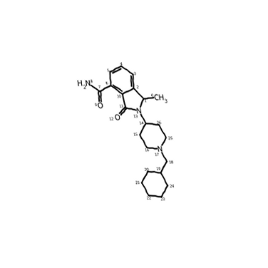 CC1c2cccc(C(N)=O)c2C(=O)N1C1CCN(CC2CCCCC2)CC1